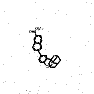 COC(=O)c1ccc2cc(-c3ccc(O)c(C45CC6CC(CC(C6)C4)C5)c3)ccc2c1